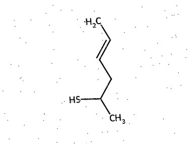 [CH2]C=CCC(C)S